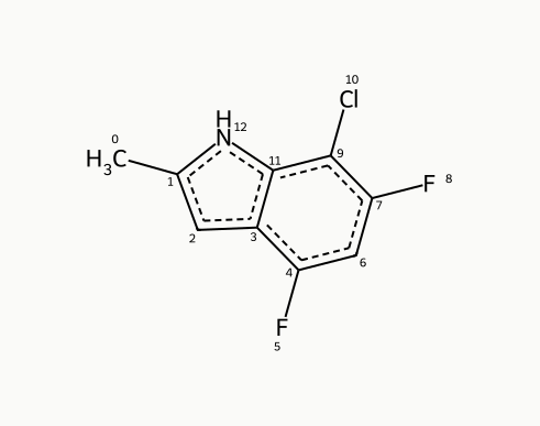 Cc1cc2c(F)cc(F)c(Cl)c2[nH]1